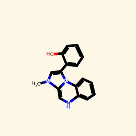 CN1C=C(c2ccccc2O)N2C1=CNc1ccccc12